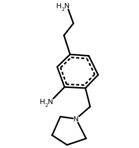 NCCc1ccc(CN2CCCC2)c(N)c1